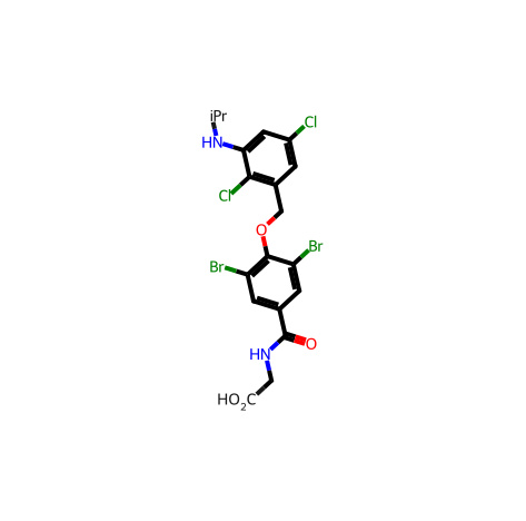 CC(C)Nc1cc(Cl)cc(COc2c(Br)cc(C(=O)NCC(=O)O)cc2Br)c1Cl